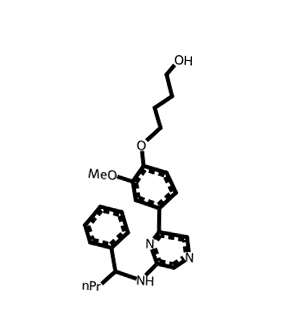 CCCC(Nc1cncc(-c2ccc(OCCCCO)c(OC)c2)n1)c1ccccc1